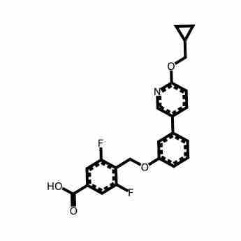 O=C(O)c1cc(F)c(COc2cccc(-c3ccc(OCC4CC4)nc3)c2)c(F)c1